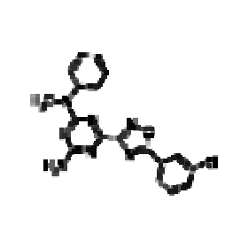 CN(c1ccccc1)c1nc(N)nc(-c2noc(-c3cccc(Cl)c3)n2)n1